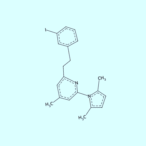 Cc1cc(CCc2cccc(I)c2)nc(-n2c(C)ccc2C)c1